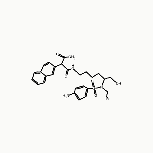 CC(C)CN(C(CO)CCCCNC(=O)C(C(N)=O)c1ccc2ccccc2c1)S(=O)(=O)c1ccc(N)cc1